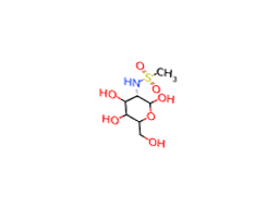 CS(=O)(=O)N[C@@H]1C(O)OC(CO)C(O)C1O